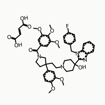 COc1ccc(C2(CCN3CCC(O)(c4nc5ccccc5n4Cc4ccc(F)cc4)CC3)CCN(C(=O)c3cc(OC)c(OC)c(OC)c3)C2)cc1OC.O=C(O)C=CC(=O)O